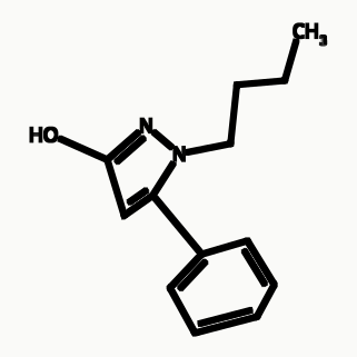 CCCCn1nc(O)cc1-c1ccccc1